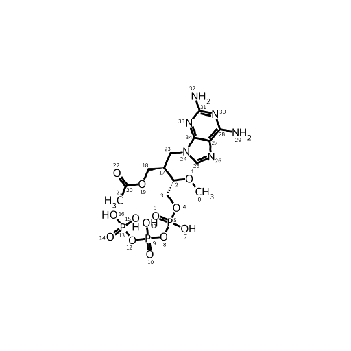 CO[C@H](COP(=O)(O)OP(=O)(O)OP(=O)(O)O)[C@@H](COC(C)=O)Cn1cnc2c(N)nc(N)nc21